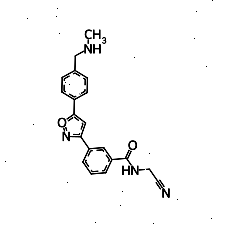 CNCc1ccc(-c2cc(-c3cccc(C(=O)NCC#N)c3)no2)cc1